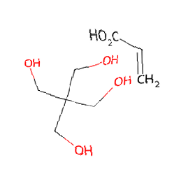 C=CC(=O)O.OCC(CO)(CO)CO